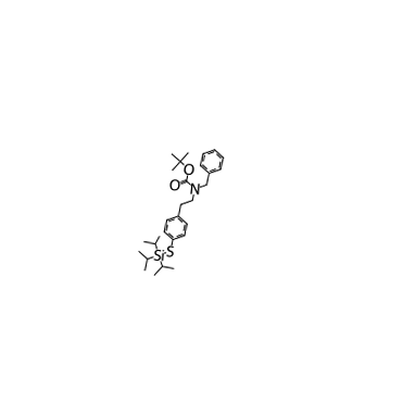 CC(C)[Si](Sc1ccc(CCN(Cc2ccccc2)C(=O)OC(C)(C)C)cc1)(C(C)C)C(C)C